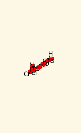 CC(=O)Nc1ccc(S(=O)(=O)N2CCN(c3ccc(OCC4COC(Cn5cncn5)(c5ccc(Cl)cc5Cl)O4)cc3)CC2)cc1